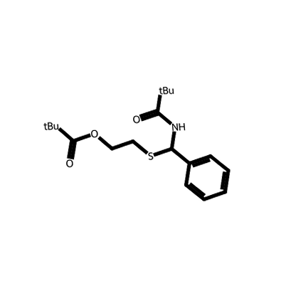 CC(C)(C)C(=O)NC(SCCOC(=O)C(C)(C)C)c1ccccc1